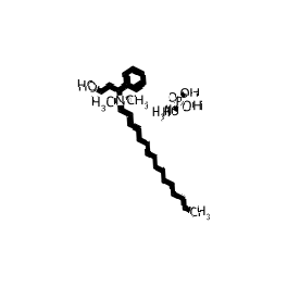 CCCCCCCCCCCCCCCC[N+](C)(C)C(CCO)c1ccccc1.N.O=P(O)(O)O